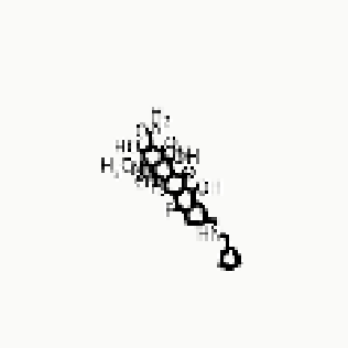 CN(C)[C@@H]1C(O)=C(C(N)=O)C(=O)[C@@]2(O)C(O)=C3C(=O)c4c(c(F)c5ccc(CNCc6ccccc6)cc5c4O)C[C@H]3C[C@@H]12